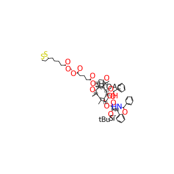 CC(=O)O[C@@]12COC1C[C@H](OC(=O)CCCC(=O)OCOC(=O)CCCCC1CCSS1)[C@@]1(C)C(=O)[C@H](C)C3=C(C)[C@@H](OC(=O)[C@H](O[Si](C)(C)C(C)(C)C)[C@@H](NC(=O)c4ccccc4)c4ccccc4)C[C@@](O)([C@@H](OC(=O)c4ccccc4)[C@@H]12)C3(C)C